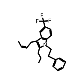 C/C=C\Cc1c(CCC)n(CCc2ccccc2)c2ccc(C(F)(F)F)cc12